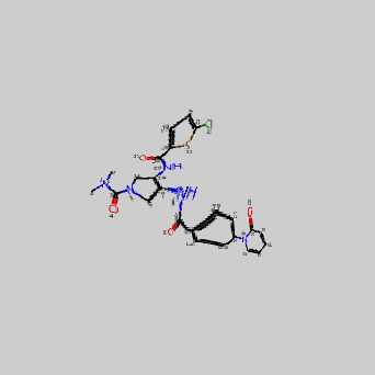 CN(C)C(=O)N1C[C@H](NC(=O)c2ccc(-n3ccccc3=O)cc2)[C@H](NC(=O)c2ccc(Cl)s2)C1